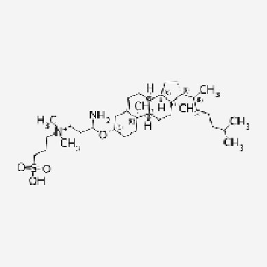 CC(C)CCC[C@@H](C)[C@H]1CC[C@H]2[C@@H]3CC=C4C[C@@H](OC(N)CC[N+](C)(C)CCCS(=O)(=O)O)CC[C@]4(C)[C@H]3CC[C@]12C